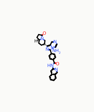 N[N+]12C=CN=CC1=C([C@@H]1CC[C@H]3CCC(=O)N3C1)N=C2c1ccc(C(=O)Nc2cc3ccccc3cn2)cc1